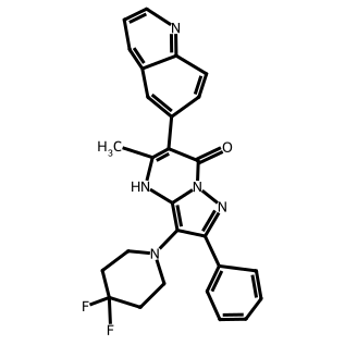 Cc1[nH]c2c(N3CCC(F)(F)CC3)c(-c3ccccc3)nn2c(=O)c1-c1ccc2ncccc2c1